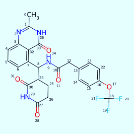 Cc1nc2cccc(C(NC(=O)Cc3ccc(OC(F)(F)F)cc3)C3CCC(=O)NC3=O)c2c(=O)[nH]1